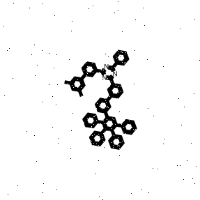 Cc1cc(C)cc(-c2cccc(-c3nc(-c4ccccc4)nc(-c4cccc(-c5cccc(-c6cc(-c7ccccc7)c(-c7ccccc7)c(-c7ccccc7)c6-c6ccccc6)c5)c4)n3)c2)c1